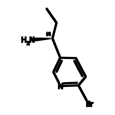 CC[C@@H](N)c1ccc(Br)nc1